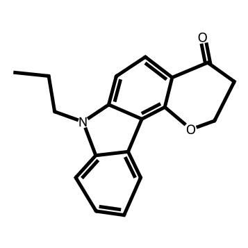 CCCn1c2ccccc2c2c3c(ccc21)C(=O)CCO3